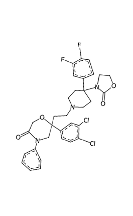 O=C1COC(CCN2CCC(c3ccc(F)c(F)c3)(N3CCOC3=O)CC2)(c2ccc(Cl)c(Cl)c2)CN1c1ccccc1